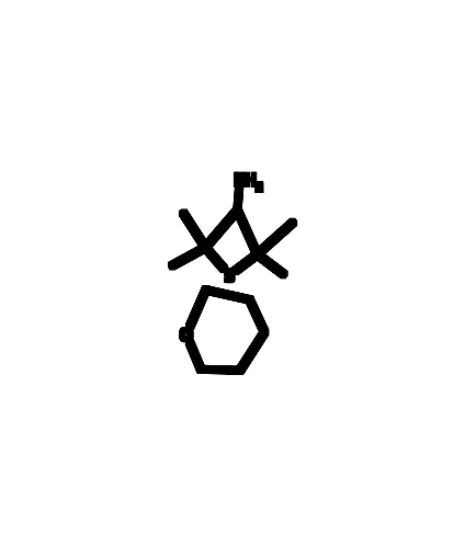 C1CCOCC1.CC1(C)SC(C)(C)C1N